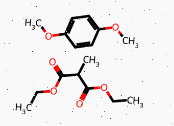 CCOC(=O)C(C)C(=O)OCC.COc1ccc(OC)cc1